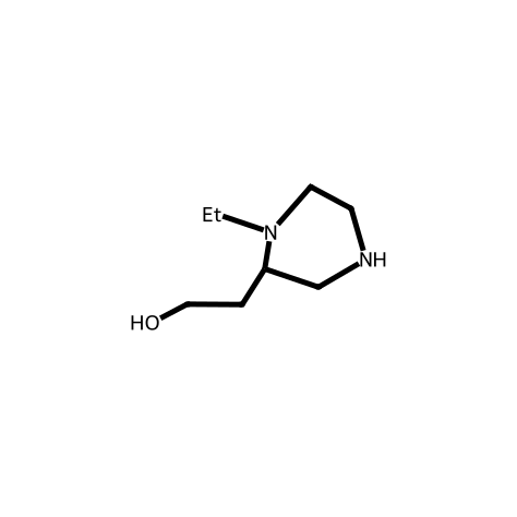 CCN1CCNCC1CCO